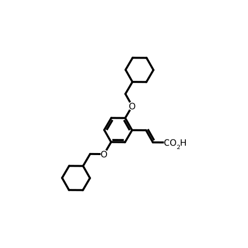 O=C(O)/C=C/c1cc(OCC2CCCCC2)ccc1OCC1CCCCC1